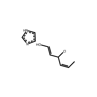 C/C=C\C(Cl)/C=C/O.c1c[nH]cn1